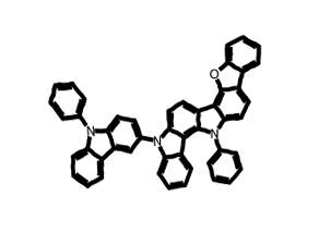 c1ccc(-n2c3ccccc3c3cc(-n4c5ccccc5c5c4ccc4c6c7oc8ccccc8c7ccc6n(-c6ccccc6)c45)ccc32)cc1